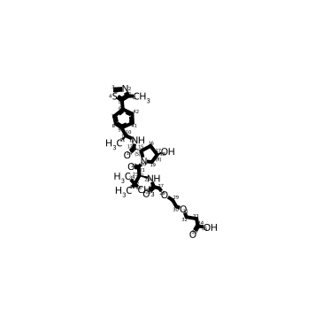 Cc1ncsc1-c1ccc([C@H](C)NC(=O)[C@@H]2C[C@@H](O)CN2C(=O)[C@@H](NC(=O)COCCOCCC(=O)O)C(C)(C)C)cc1